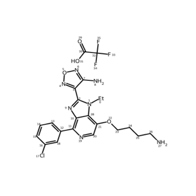 CCn1c(-c2nonc2N)nc2c(-c3cccc(Cl)c3)ncc(OCCCCN)c21.O=C(O)C(F)(F)F